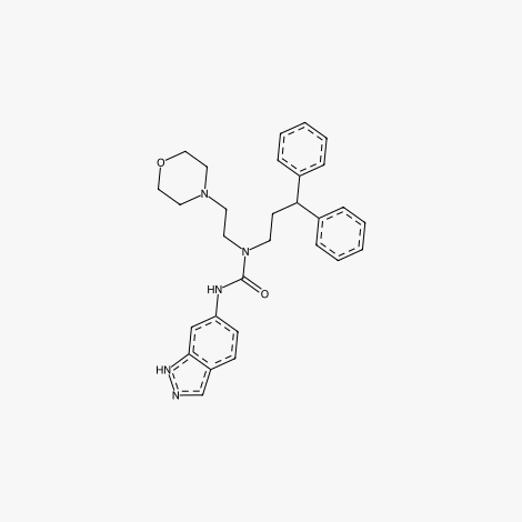 O=C(Nc1ccc2cn[nH]c2c1)N(CCC(c1ccccc1)c1ccccc1)CCN1CCOCC1